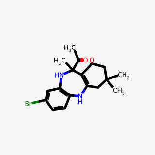 CC(=O)C1(C)Nc2cc(Br)ccc2NC2=C1C(=O)CC(C)(C)C2